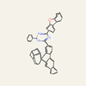 c1ccc(-c2nc(-c3ccc4c(c3)C3(c5cc6ccccc6cc5-4)C4CC5CC(C4)CC3C5)nc(-c3ccc4c(c3)oc3ccccc34)n2)cc1